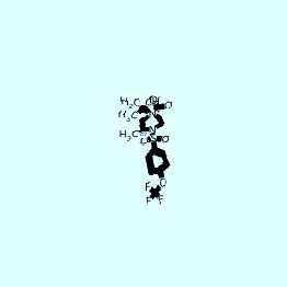 C[C@H]1C[N+](C(=O)[O-])(C(C)(C)C)CCN1S(=O)(=O)c1ccc(OC(F)(F)F)cc1